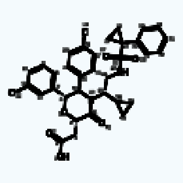 O=C(O)C[C@@H]1O[C@H](c2cccc(Cl)c2)[C@@H](c2ccc(Cl)cc2)N([C@H](CNS(=O)(=O)C2(c3ccccc3)CC2)C2CC2)C1=O